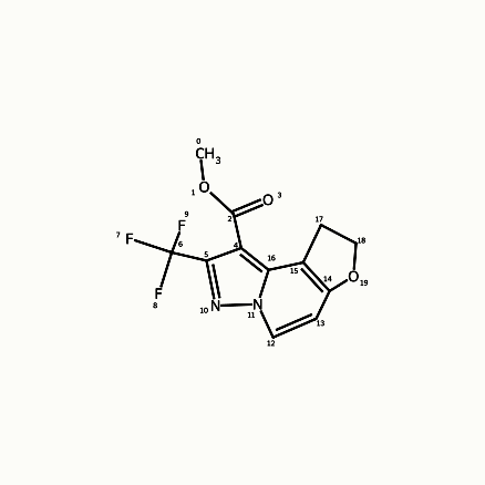 COC(=O)c1c(C(F)(F)F)nn2ccc3c(c12)CCO3